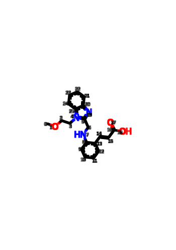 COCCn1c(CNc2ccccc2/C=C/C(=O)O)nc2ccccc21